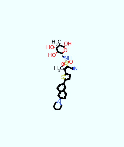 C/C(=C(/C#N)S(=O)(=O)NC[C@H]1OC(O)[C@H](C)[C@@H](O)[C@@H]1O)c1ccc(-c2ccc3cc(N4CCCCC4)ccc3c2)s1